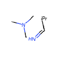 CC(C)C=N.CN(C)C